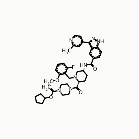 C=C(OC1CCCC1)N1CCN(C(=O)[C@@H]2CC[C@@H](NC(=O)c3ccc4[nH]nc(-c5ccnc(C)c5)c4c3)CN2Cc2c(F)cccc2OC)CC1